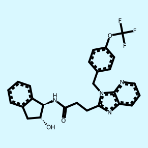 O=C(CCc1nc2cccnc2n1Cc1ccc(OC(F)(F)F)cc1)N[C@@H]1c2ccccc2C[C@H]1O